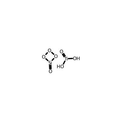 O=[si]1ooo1.[O]=[Ti]([OH])[OH]